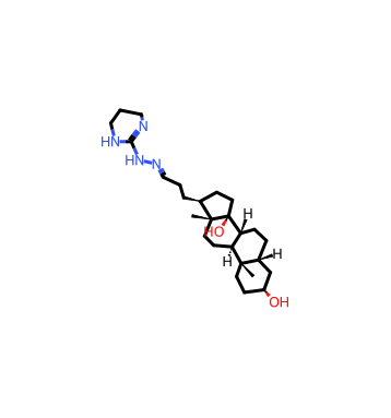 C[C@]12CC[C@H](O)C[C@H]1CC[C@@H]1[C@@H]2CC[C@]2(C)[C@@H](CC/C=N/NC3=NCCCN3)CC[C@]12O